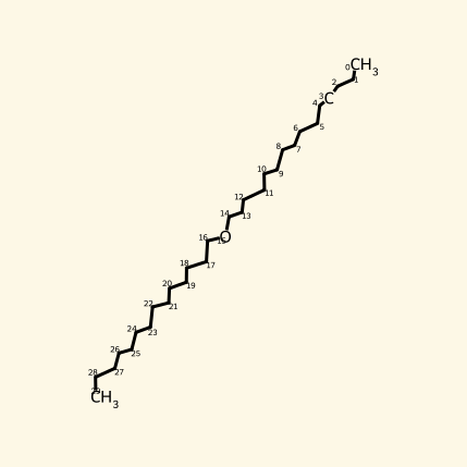 CCCCCCCCCCCCCCCOCCCCCCCCCCCCCC